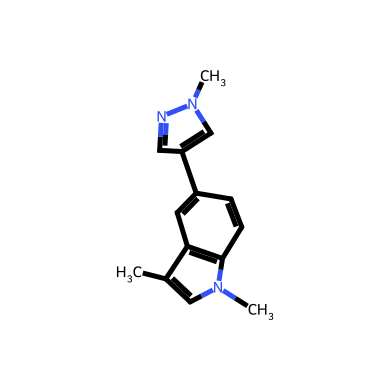 Cc1cn(C)c2ccc(-c3cnn(C)c3)cc12